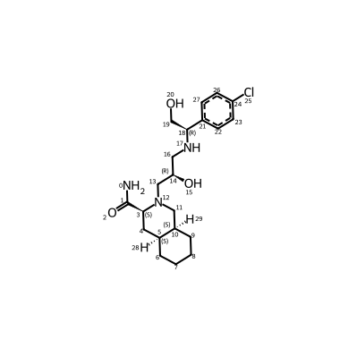 NC(=O)[C@@H]1C[C@@H]2CCCC[C@@H]2CN1C[C@H](O)CN[C@@H](CO)c1ccc(Cl)cc1